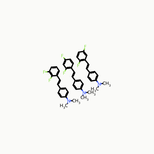 CN(C)c1ccc(/C=C/c2cc(F)ccc2F)cc1.CN(C)c1ccc(/C=C/c2ccc(F)cc2F)cc1.CN(C)c1ccc(/C=C/c2cccc(F)c2F)cc1